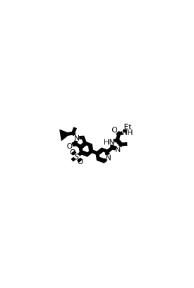 CCNC(=O)c1[nH]c(-c2cc(-c3cc4c(c(S(C)(=O)=O)c3)C(=O)N(C(C)C3CC3)C4)ccn2)nc1C